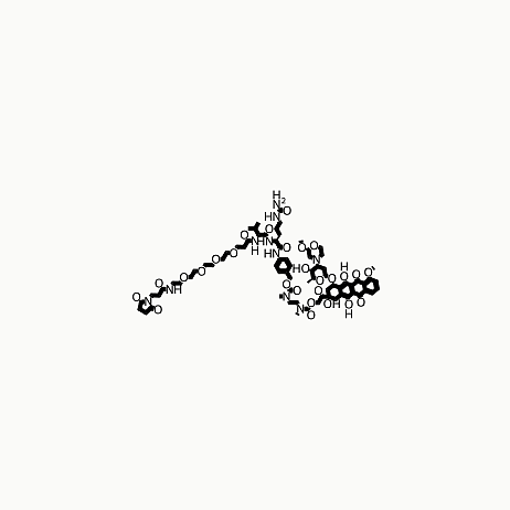 COc1cccc2c1C(=O)c1c(O)c3c(c(O)c1C2=O)C[C@@](O)(C(=O)COC(=O)N(C)CCN(C)C(=O)OCc1ccc(NC(=O)[C@H](CCCNC(N)=O)NC(=O)C(NC(=O)CCOCCOCCOCCOCCNC(=O)CCN2C(=O)CCC2=O)C(C)C)cc1)C[C@@H]3OC1C[C@H](N2CCO[C@H](OC)C2)[C@H](O)[C@H](C)O1